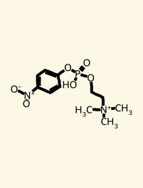 C[N+](C)(C)CCOP(=O)(O)Oc1ccc([N+](=O)[O-])cc1